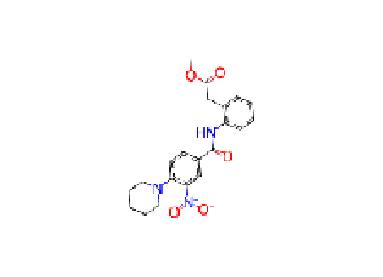 COC(=O)Cc1ccccc1NC(=O)c1ccc(N2CCCCC2)c([N+](=O)[O-])c1